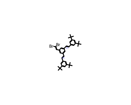 CC(C)(C)c1cc(/C=C/c2cc(C=C(Br)Br)cc(/C=C/c3cc(C(C)(C)C)cc(C(C)(C)C)c3)c2)cc(C(C)(C)C)c1